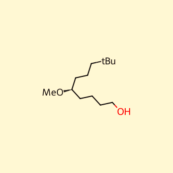 CO[C@H](CCCCO)CCCC(C)(C)C